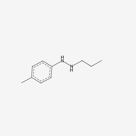 CCCNNc1ccc(C)cc1